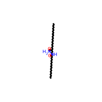 CCCCCCCCC=CCCCCCCCCCCC(CCNC(=O)CCCCCCCC=CCCCCCCCC)C(N)=O